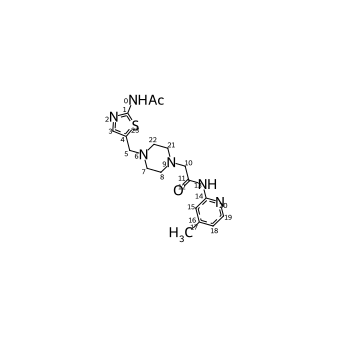 CC(=O)Nc1ncc(CN2CCN(CC(=O)Nc3cc(C)ccn3)CC2)s1